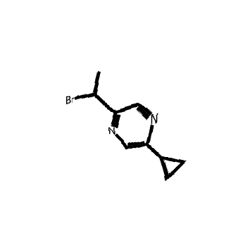 CC(Br)c1cnc(C2CC2)cn1